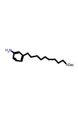 CCCCCCCCCCCCCCCCCCCc1cccc(N)c1